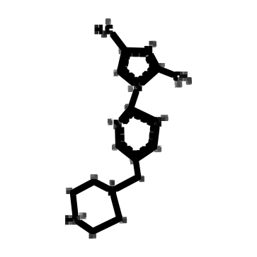 Cc1cn(-c2ncc(CN3CCNCC3)cn2)c(C)n1